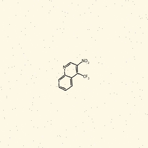 O=[N+]([O-])c1cnc2ccccc2c1C(F)(F)F